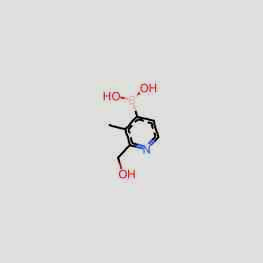 Cc1c(B(O)O)ccnc1CO